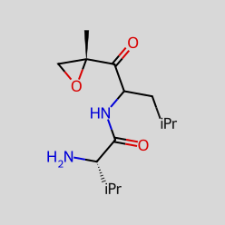 CC(C)CC(NC(=O)[C@@H](N)C(C)C)C(=O)[C@@]1(C)CO1